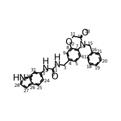 O=C(NCc1ccc2c(c1)OCC(=O)N2Cc1ccccc1)Nc1ccc2cc[nH]c2c1